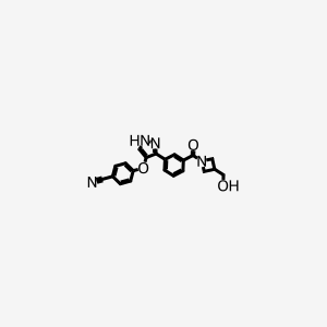 N#Cc1ccc(Oc2c[nH]nc2-c2cccc(C(=O)N3CC(CO)C3)c2)cc1